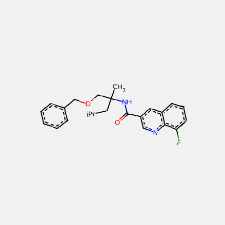 CC(C)CC(C)(COCc1ccccc1)NC(=O)c1cnc2c(F)cccc2c1